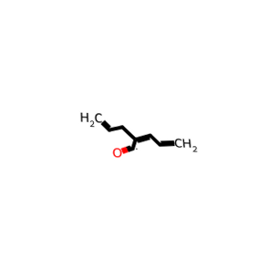 C=CC=C([C]=O)CC=C